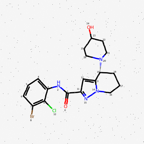 O=C(Nc1cccc(Br)c1Cl)c1cc2n(n1)CCC[C@H]2N1CCC(O)CC1